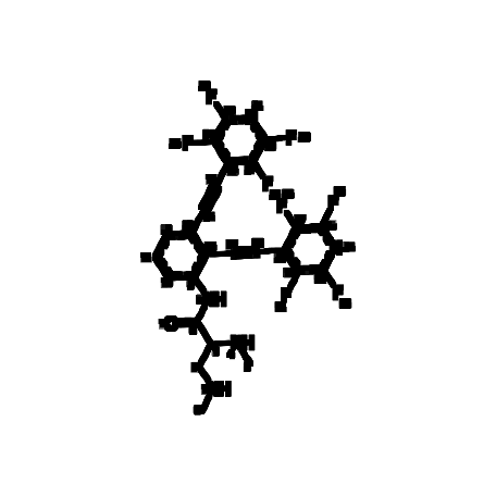 CNCC(NC)C(=O)Nc1cccc(C#Cc2c(F)c(F)nc(F)c2F)c1C#Cc1c(F)c(F)nc(F)c1F